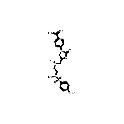 CC(=O)Nc1ccc(S(=O)(=O)N(C)CCN(C)CC2CN(c3ccc(C(=N)N)cc3)C(=O)O2)cc1